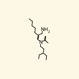 C=C(C)N(/C=C(\CN)CCCCC)CCC(CC)CC